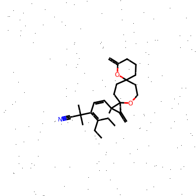 C=C1CCCC2(CCOC3(CC2)C(=C)C3(C)/C=C\C(=C(CC)CC)C(C)(C)C#N)O1